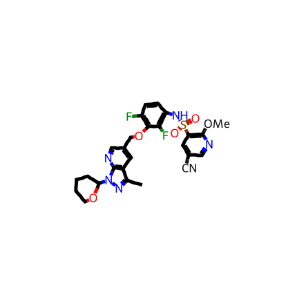 COc1ncc(C#N)cc1S(=O)(=O)Nc1ccc(F)c(OCc2cnc3c(c2)c(C)nn3C2CCCCO2)c1F